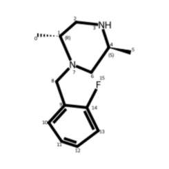 C[C@@H]1CN[C@@H](C)CN1Cc1ccccc1F